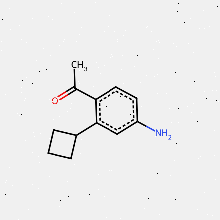 CC(=O)c1ccc(N)cc1C1CCC1